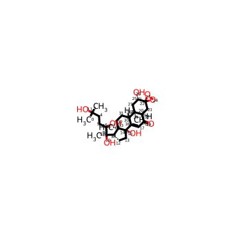 CC(C)(O)CCC(O)[C@](C)(O)[C@H]1CC[C@@]2(O)C3=CC(=O)[C@@H]4CC5(OO5)[C@@H](O)C[C@]4(C)[C@H]3CC[C@]12C